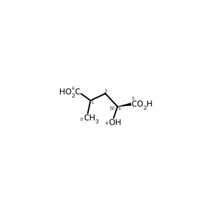 CC(C[C@H](O)C(=O)O)C(=O)O